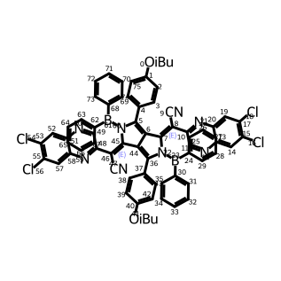 CC(C)COc1ccc(-c2c3/c(=C(\C#N)c4cnc5cc(Cl)c(Cl)cc5n4)n(B(c4ccccc4)c4ccccc4)c(-c4ccc(OCC(C)C)cc4)c3/c(=C(\C#N)c3cnc4cc(Cl)c(Cl)cc4n3)n2B(c2ccccc2)c2ccccc2)cc1